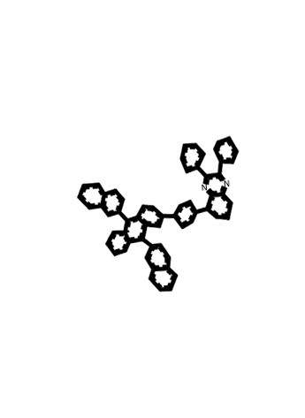 c1ccc(-c2nc3cccc(-c4ccc(-c5ccc6c(-c7ccc8ccccc8c7)c7ccccc7c(-c7ccc8ccccc8c7)c6c5)cc4)c3nc2-c2ccccc2)cc1